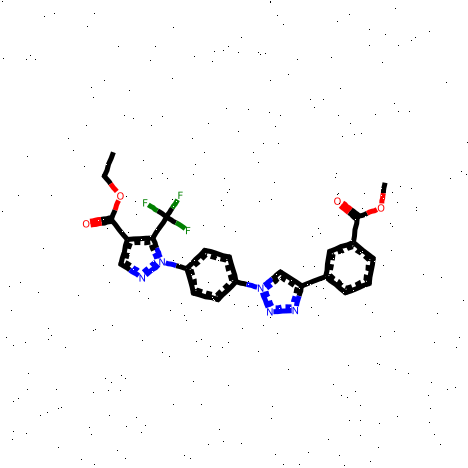 CCOC(=O)c1cnn(-c2ccc(-n3cc(-c4cccc(C(=O)OC)c4)nn3)cc2)c1C(F)(F)F